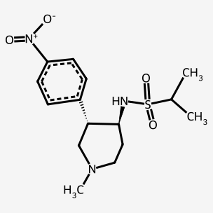 CC(C)S(=O)(=O)N[C@H]1CCN(C)C[C@@H]1c1ccc([N+](=O)[O-])cc1